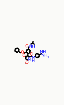 COc1ccc(-c2ccc(C(=O)NCC(C)C)cc2C(=O)OCc2ccccc2)c(C(=O)Nc2ccc(C(=N)N)cc2)n1